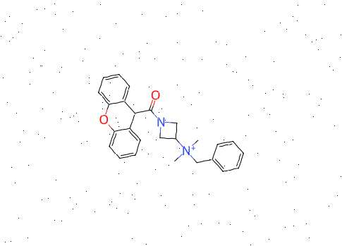 C[N+](C)(Cc1ccccc1)C1CN(C(=O)C2c3ccccc3Oc3ccccc32)C1